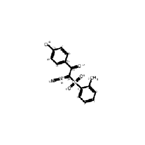 Cc1ccccc1S(=O)(=O)C(=[N+]=[N-])C(=O)c1ccc(Cl)cc1